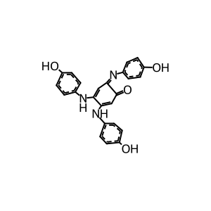 O=C1C=C(Nc2ccc(O)cc2)C(Nc2ccc(O)cc2)=CC1=Nc1ccc(O)cc1